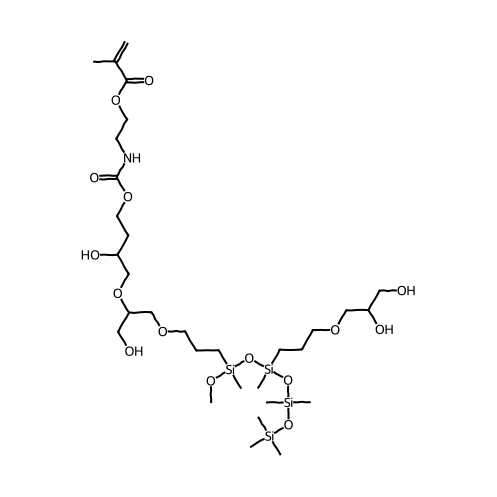 C=C(C)C(=O)OCCNC(=O)OCCC(O)COC(CO)COCCC[Si](C)(OC)O[Si](C)(CCCOCC(O)CO)O[Si](C)(C)O[Si](C)(C)C